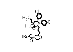 C=CC[C@@]1(C)C[C@H](c2cccc(Cl)c2)[C@@H](c2ccc(Cl)cc2)N(CCCC2CN(C(=O)OC(C)(C)C)CCO2)C1=O